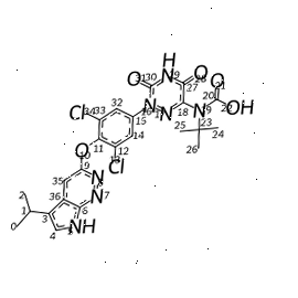 CC(C)c1c[nH]c2nnc(Oc3c(Cl)cc(-n4nc(N(C(=O)O)C(C)(C)C)c(=O)[nH]c4=O)cc3Cl)cc12